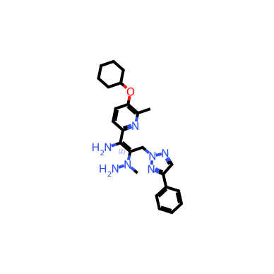 Cc1nc(/C(N)=C(\Cn2ncc(-c3ccccc3)n2)N(C)N)ccc1OC1CCCCC1